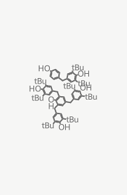 CC(C)(C)c1cc(Cc2cc(Cc3cc(C(C)(C)C)c(O)c(C(C)(C)C)c3)c(O)c(Cc3cc(C(C)(C)C)c(O)c(C(C)(C)C)c3)c2)cc(C(C)(C)C)c1O.CC(C)(C)c1cc(Cc2ccc(O)cc2)cc(C(C)(C)C)c1O